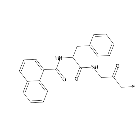 O=C(CF)CNC(=O)C(Cc1ccccc1)NC(=O)c1cccc2ccccc12